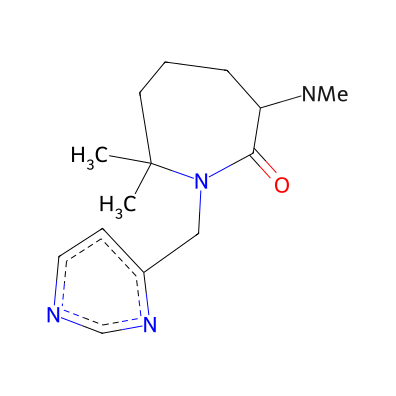 CNC1CCCC(C)(C)N(Cc2ccncn2)C1=O